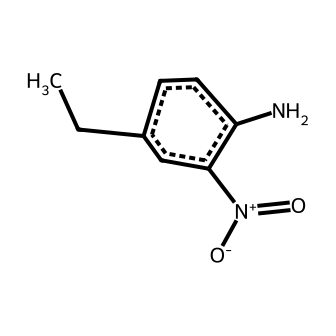 CCc1ccc(N)c([N+](=O)[O-])c1